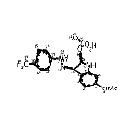 COc1ccc2c(c1)NC(=O)/C2=N\Nc1ccc(C(F)(F)F)cc1.O=C(O)O